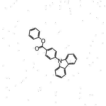 O=C(Oc1ccccc1)c1ccc(-n2c3ccccc3c3ccccc32)cc1